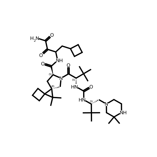 CC1(C)CN(C[C@@H](NC(=O)N[C@H](C(=O)N2C[C@]3(C[C@H]2C(=O)NC(CC2CCC2)C(=O)C(N)=O)C(C)(C)C32CCC2)C(C)(C)C)C(C)(C)C)CCN1